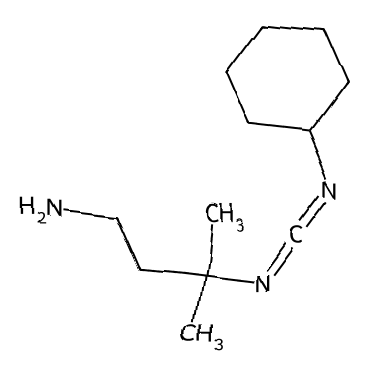 CC(C)(CCN)N=C=NC1CCCCC1